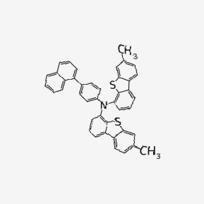 Cc1ccc2c(c1)sc1c(N(c3ccc(-c4cccc5ccccc45)cc3)c3cccc4c3sc3cc(C)ccc34)cccc12